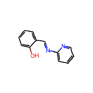 Oc1ccccc1C=Nc1ccccn1